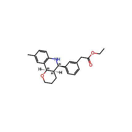 CCOC(=O)Cc1cccc([C@@H]2Nc3ccc(C)cc3[C@@H]3OCCC[C@H]23)c1